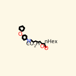 CCCCCCC1C(=O)OC1CCCCCN(C(=O)O)c1ccc(Oc2ccccc2)cc1